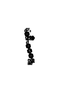 CCC(C)n1ncn(-c2ccc(N3CCN(c4ccc(OC[C@@H]5CO[C@@](Cn6cccn6)(c6ccc(OC(F)(F)F)cc6)O5)cc4)CC3)cc2)c1=O